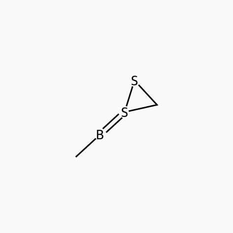 CB=S1CS1